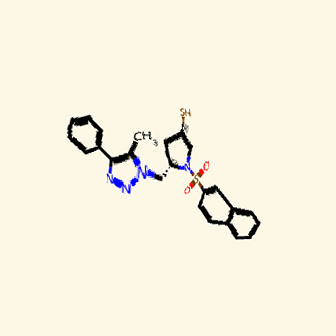 Cc1c(-c2ccccc2)nnn1C[C@@H]1C[C@@H](S)CN1S(=O)(=O)c1ccc2ccccc2c1